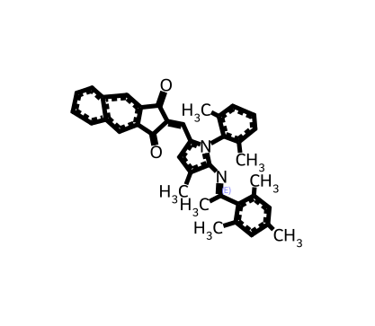 C/C(=N\c1c(C)cc(C=C2C(=O)c3cc4ccccc4cc3C2=O)n1-c1c(C)cccc1C)c1c(C)cc(C)cc1C